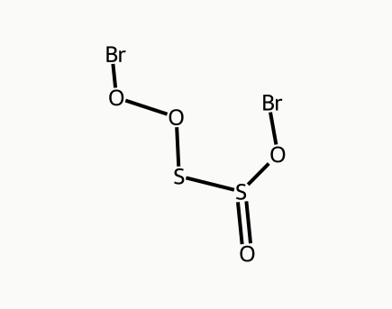 O=S(OBr)SOOBr